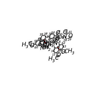 COc1ccc(CN(Cc2ccc(OC)cc2)S(=O)(=O)c2c(S(=O)(=O)CCN3CCOCC3=O)ccc(-c3cccc4sc(N)nc34)c2-c2nnnn2Cc2ccc(OC)cc2)cc1